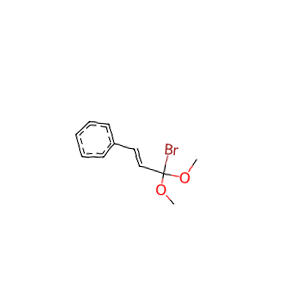 COC(Br)(C=Cc1ccccc1)OC